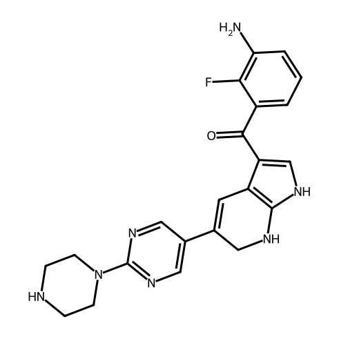 Nc1cccc(C(=O)c2c[nH]c3c2C=C(c2cnc(N4CCNCC4)nc2)CN3)c1F